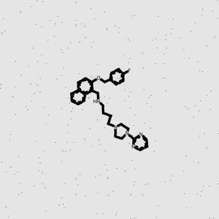 Fc1ccc(COc2ccc3ccccc3c2CNCCCCN2CCN(c3ncccn3)CC2)cc1